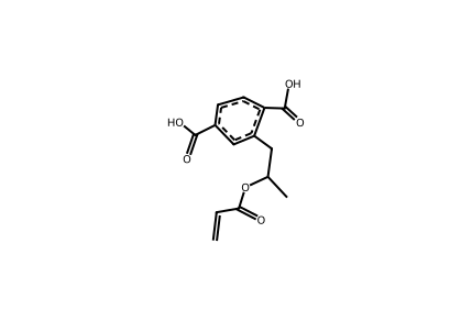 C=CC(=O)OC(C)Cc1cc(C(=O)O)ccc1C(=O)O